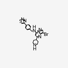 Brc1cnn2c(NCc3ccc(-c4csnn4)cc3)cc(C3CCNCC3)nc12